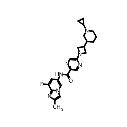 Cc1cn2cc(NC(=O)c3cnc(N4CC(C5CCCN(C6CC6)C5)C4)cn3)cc(F)c2n1